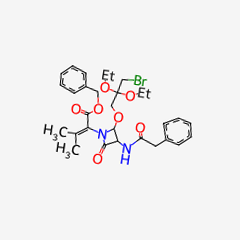 CCOC(CBr)(COC1C(NC(=O)Cc2ccccc2)C(=O)N1C(C(=O)OCc1ccccc1)=C(C)C)OCC